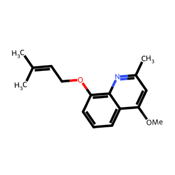 COc1cc(C)nc2c(OCC=C(C)C)cccc12